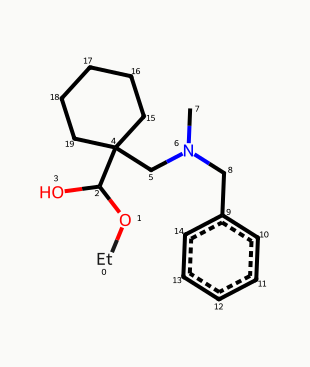 CCOC(O)C1(CN(C)Cc2ccccc2)CCCCC1